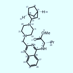 COC(=O)[C@@H](Nc1nc(CN2CCN(C3C[C@@H]4CC[C@H]3C4)CC2)nc2ccccc12)C(C)C